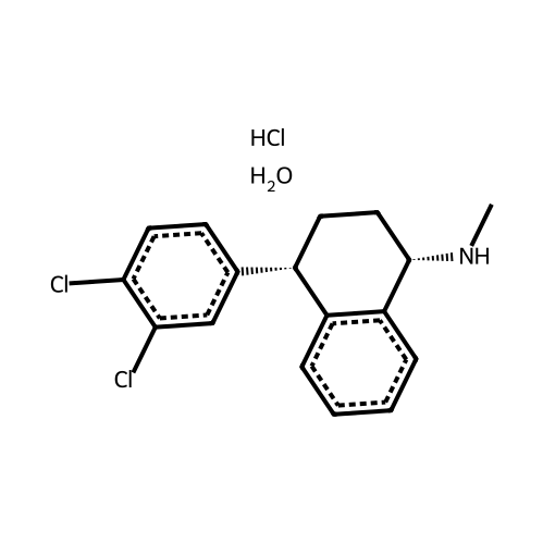 CN[C@H]1CC[C@@H](c2ccc(Cl)c(Cl)c2)c2ccccc21.Cl.O